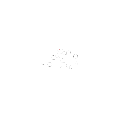 N#Cc1cccc(-c2ccc3c4ccccc4n(-c4cc(C#N)c(-c5ccncc5)cc4-n4c5ccccc5c5ccc(-c6cccc(C#N)c6)cc54)c3c2)c1